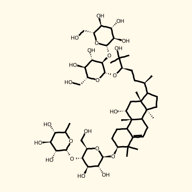 CC1O[C@H](O[C@H]2[C@H](O)[C@@H](O)[C@H](O[C@H]3CCC4C(=CCC5[C@@]4(C)[C@H](O)C[C@]4(C)C([C@H](C)CC[C@@H](O[C@@H]6O[C@H](CO)[C@@H](O)[C@H](O)[C@H]6O[C@@H]6O[C@H](CO)[C@@H](O)[C@H](O)[C@H]6O)C(C)(C)O)CC[C@@]54C)C3(C)C)O[C@@H]2CO)[C@H](O)[C@@H](O)[C@@H]1O